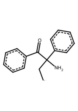 [CH2]CC(N)(C(=O)c1ccccc1)c1ccccc1